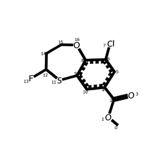 COC(=O)c1cc(Cl)c2c(c1)SC(F)CCO2